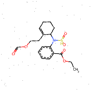 CCOC(=O)c1ccccc1N(C1CCCC=C1CCOC=O)[SH](=O)=O